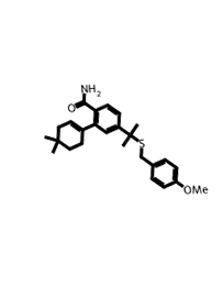 COc1ccc(CSC(C)(C)c2ccc(C(N)=O)c(C3=CCC(C)(C)CC3)c2)cc1